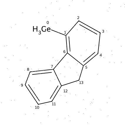 [GeH3][c]1cccc2c1-c1ccccc1C2